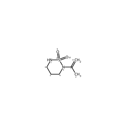 C=C(C)N1CCCNS1(=O)=O